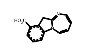 O=C(O)c1cccc2c1CC1=NC=CC=CN12